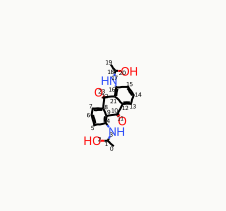 CC(O)Nc1cccc2c1C(=O)c1cccc(NC(C)O)c1C2=O